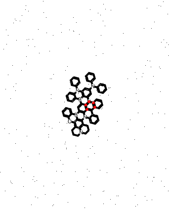 c1ccc(-c2ccccc2N2c3cc4c(cc3B3c5ccccc5Oc5c6c7c(c2c53)CCCN7CCC6)B2c3ccccc3N(c3ccccc3)c3cc(N(c5ccccc5)c5ccccc5)cc(c32)N4c2ccccc2)cc1